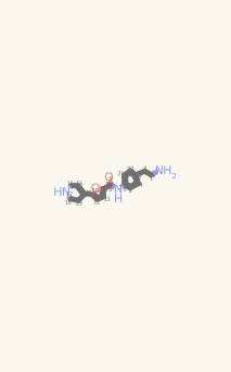 NCCc1ccc(NC(=O)c2ccc(C3=CCNCC3)o2)cc1